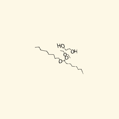 CCCCCCCCOC(=O)CCCCCCC.CCOCC.OCCO